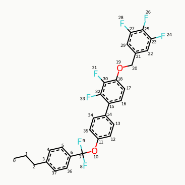 CCCc1ccc(C(F)(F)Oc2ccc(-c3ccc(OCc4cc(F)c(F)c(F)c4)c(F)c3F)cc2)cc1